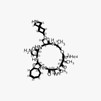 CCCCCC[C@H]1OC[C@@H](C)NC(=O)[C@H](COC2CC3(CNC3)C2)NC(=O)[C@H](CN)NC(=O)[C@H](C2CCCCCC2)NC(=O)[C@H](CCC)N(C)C(=O)[C@@H]1C